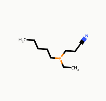 CCCCCP(CC)CCC#N